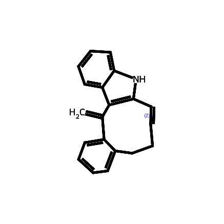 C=C1c2ccccc2CC/C=C\c2[nH]c3ccccc3c21